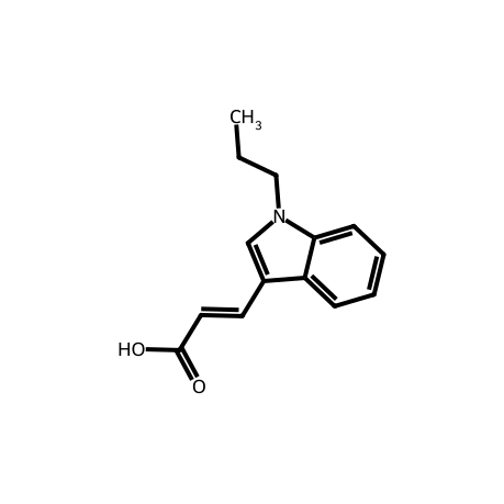 CCCn1cc(/C=C/C(=O)O)c2ccccc21